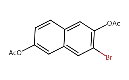 CC(=O)Oc1ccc2cc(OC(C)=O)c(Br)cc2c1